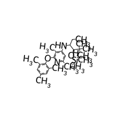 CCC(Nc1cc(C)nc(Oc2c(C)cc(C)cc2C)c1C)C(O[SiH](C)C)C(C)(C)C